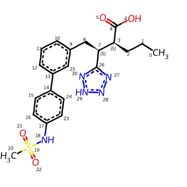 CCC[C@H](C(=O)O)[C@H](Cc1cccc(-c2ccc(NS(C)(=O)=O)cc2)c1)c1nn[nH]n1